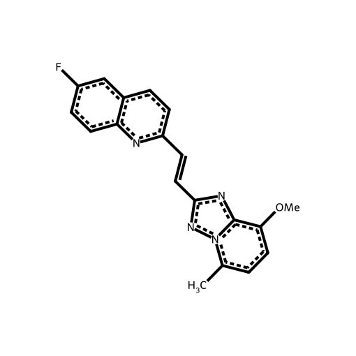 COc1ccc(C)n2nc(C=Cc3ccc4cc(F)ccc4n3)nc12